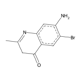 CC1=Nc2cc(N)c(Br)cc2C(=O)C1